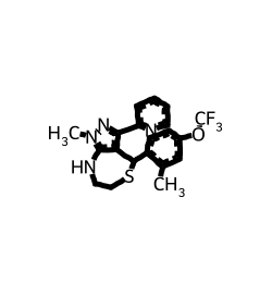 Cc1cc(OC(F)(F)F)ccc1C1SCCNc2c1c(-c1ccccn1)nn2C